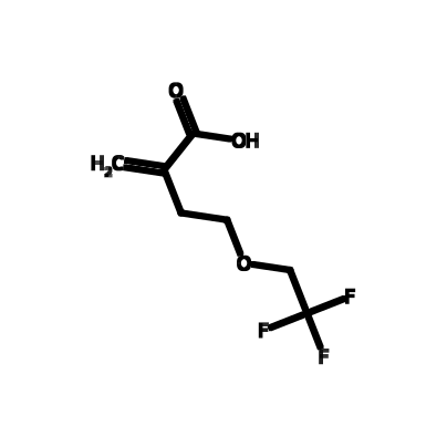 C=C(CCOCC(F)(F)F)C(=O)O